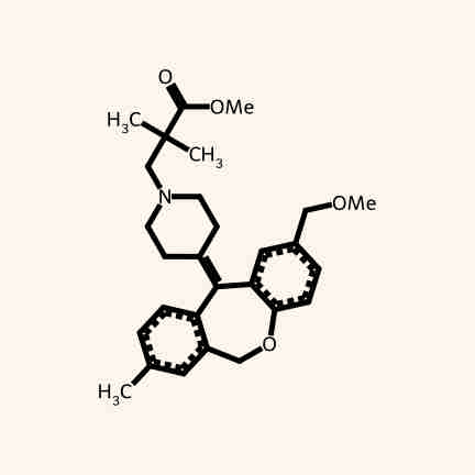 COCc1ccc2c(c1)C(=C1CCN(CC(C)(C)C(=O)OC)CC1)c1ccc(C)cc1CO2